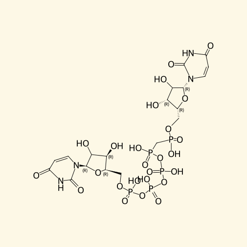 O=c1ccn([C@@H]2O[C@H](COP(=O)(O)CP(=O)(O)OP(=O)(O)OP(=O)(O)OP(=O)(O)OC[C@H]3O[C@@H](n4ccc(=O)[nH]c4=O)C(O)[C@H]3O)[C@H](O)C2O)c(=O)[nH]1